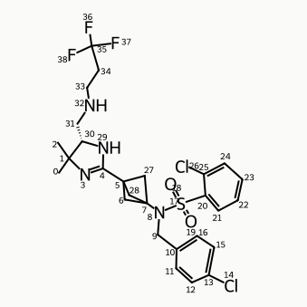 CC1(C)N=C(C23CC(N(Cc4ccc(Cl)cc4)S(=O)(=O)c4ccccc4Cl)(C2)C3)N[C@H]1CNCCC(F)(F)F